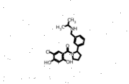 CC(C)NCc1cccc(C2CCCN2C(=O)c2cc(Cl)c(O)cc2O)c1